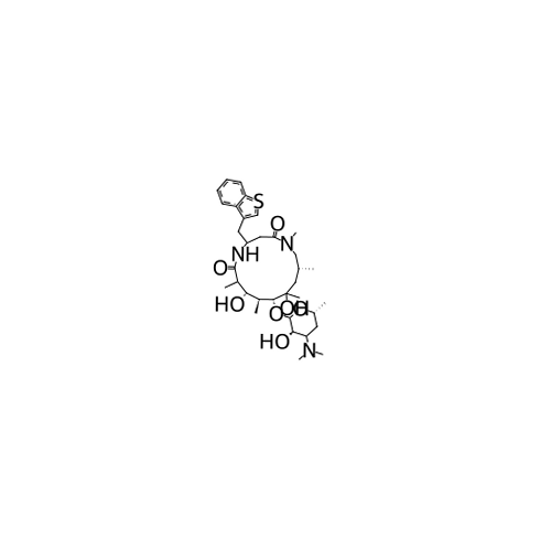 CC1C(=O)NC(Cc2csc3ccccc23)CC(=O)N(C)C[C@H](C)CC(C)(O)[C@H](OC2O[C@H](C)CC(N(C)C)[C@H]2O)[C@@H](C)[C@@H]1O